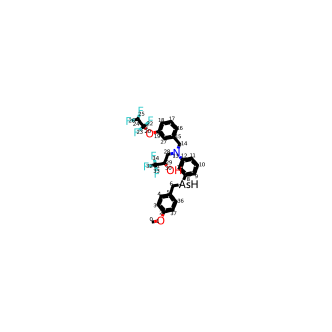 COc1ccc(C[AsH]c2cccc(N(Cc3cccc(OC(F)(F)C(F)F)c3)CC(O)C(F)(F)F)c2)cc1